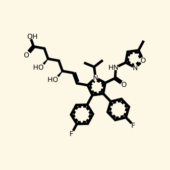 Cc1cc(NC(=O)c2c(-c3ccc(F)cc3)c(-c3ccc(F)cc3)c(/C=C/[C@@H](O)C[C@@H](O)CC(=O)O)n2C(C)C)no1